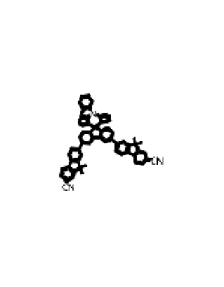 CC1(C)c2cc(C#N)ccc2-c2ccc(-c3ccc4c(c3)-c3cc(-c5ccc6c(c5)C(C)(C)c5cc(C#N)ccc5-6)ccc3C43c4ccccc4-n4c5ccccc5c5cccc3c54)cc21